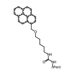 CCCCCNC(=O)NCCCCCOCc1ccc2ccc3cccc4ccc1c2c34